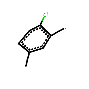 [CH2]c1cc(C)ccc1Cl